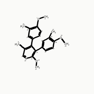 COc1ccc(-c2c(C)[c]nc(OC)c2-c2ccc(OC)c(C)c2)cc1C